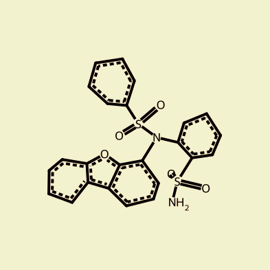 NS(=O)(=O)c1ccccc1N(c1cccc2c1oc1ccccc12)S(=O)(=O)c1ccccc1